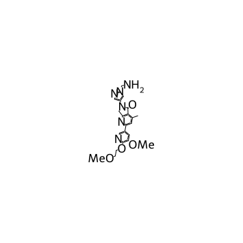 COCCOc1ncc(-c2cc(C)c3c(n2)CN(c2cnn(CN)c2)C3=O)cc1OC